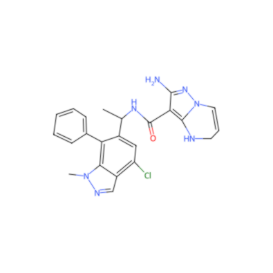 CC(NC(=O)c1c(N)nn2c1NCC=C2)c1cc(Cl)c2cnn(C)c2c1-c1ccccc1